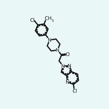 Cc1cc(N2CCN(C(=O)Cn3cc4nc(Cl)ccc4n3)CC2)ccc1Cl